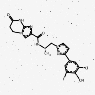 C[C@@H](Cn1ccc(-c2cc(F)c(C#N)c(Cl)c2)n1)NC(=O)c1cn2c(n1)NC(=O)CC2